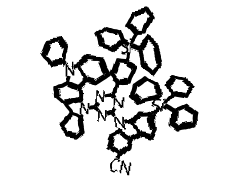 N#Cc1ccc2c(c1)c1ccc([Si](c3ccccc3)(c3ccccc3)c3ccccc3)cc1n2-c1nc(-c2ccc([Si](c3ccccc3)(c3ccccc3)c3ccccc3)cc2)nc(-n2c3ccccc3c3ccc4c(c5ccccc5n4-c4ccccc4)c32)n1